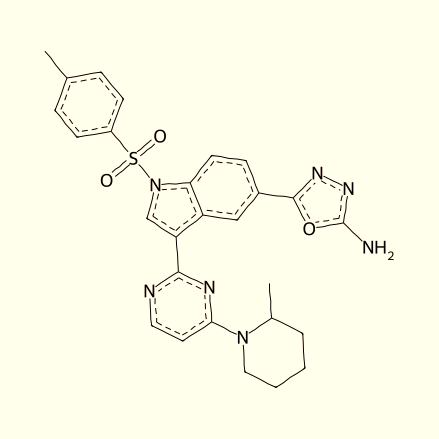 Cc1ccc(S(=O)(=O)n2cc(-c3nccc(N4CCCCC4C)n3)c3cc(-c4nnc(N)o4)ccc32)cc1